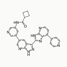 O=C(Nc1cncc(-c2cnc3[nH]nc(-c4nc5c(-c6ccncc6)ccnc5[nH]4)c3c2)c1)C1CCC1